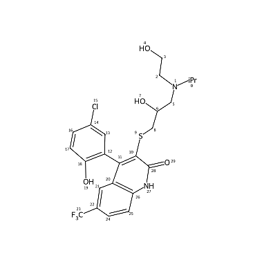 CC(C)N(CCO)CC(O)CSc1c(-c2cc(Cl)ccc2O)c2cc(C(F)(F)F)ccc2[nH]c1=O